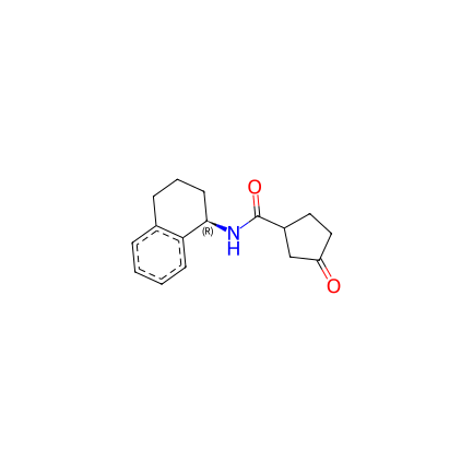 O=C1CCC(C(=O)N[C@@H]2CCCc3ccccc32)C1